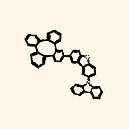 c1ccc2c(c1)-c1ccccc1-c1ccc(-c3ccc4oc5ccc(-n6c7ccccc7c7ccccc76)cc5c4c3)cc1-c1ccccc1-2